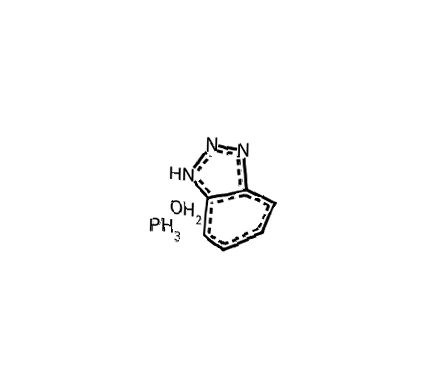 O.P.c1ccc2[nH]nnc2c1